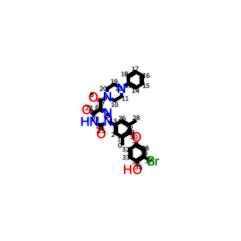 Cc1cc(-n2nc(C(=O)N3CCN(c4ccccc4)CC3)c(=O)[nH]c2=O)cc(C)c1Oc1ccc(O)c(Br)c1